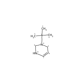 CC(C)(C)N1CC=CNC1